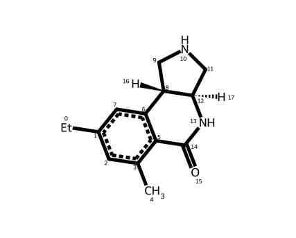 CCc1cc(C)c2c(c1)[C@@H]1CNC[C@H]1NC2=O